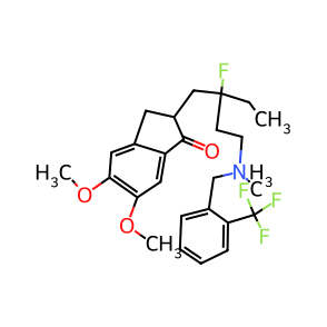 CCC(F)(CCN(C)Cc1ccccc1C(F)(F)F)CC1Cc2cc(OC)c(OC)cc2C1=O